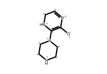 ClC1=C(N2CCNCC2)NCC=N1